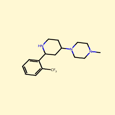 CN1CCN(C2CCNC(c3cc[c]cc3C(F)(F)F)C2)CC1